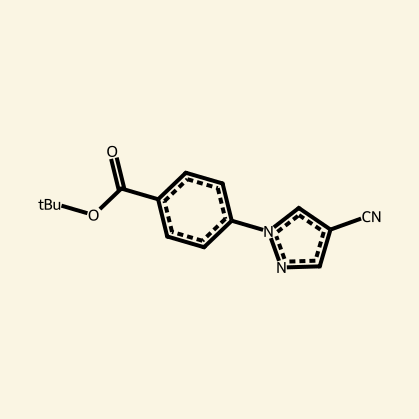 CC(C)(C)OC(=O)c1ccc(-n2cc(C#N)cn2)cc1